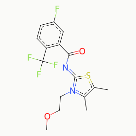 COCCn1c(C)c(C)sc1=NC(=O)c1cc(F)ccc1C(F)(F)F